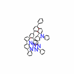 c1ccc(-c2ccc(-c3cccc(-c4ccccc4-n4c5ccccc5c5ccc6c7ccccc7n(-c7nc(-c8ccccc8)nc(-c8ccc9c%10ccccc%10n(-c%10ccccc%10)c9c8)n7)c6c54)c3)cc2)cc1